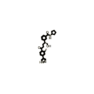 O=C(NC1CCCC1)c1cccc([C@@H](CO)CCC(=O)c2ccc(-c3cn[nH]c3)cc2F)c1